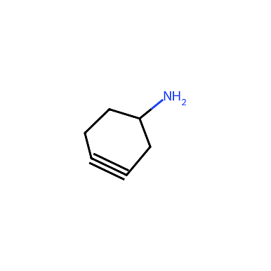 NC1CC#CCC1